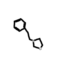 c1ccc(CCN2CCOC2)cc1